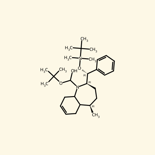 C[C@@H]1CC[C@H]([C@H](O[Si](C)(C)C(C)(C)C)c2ccccc2)N(C(O)OC(C)(C)C)C2CC=CCC21